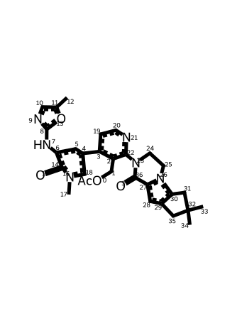 CC(=O)OCc1c(-c2cc(Nc3ncc(C)o3)c(=O)n(C)c2)ccnc1N1CCn2c(cc3c2CC(C)(C)C3)C1=O